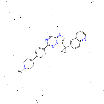 CC(=O)N1CC=C(c2ccc(-c3ncc4ncc(C5(c6ccc7ncccc7c6)CC5)n4n3)cc2)CC1